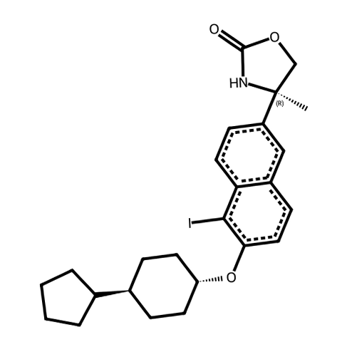 C[C@@]1(c2ccc3c(I)c(O[C@H]4CC[C@H](C5CCCC5)CC4)ccc3c2)COC(=O)N1